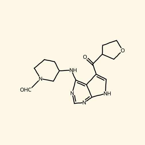 O=CN1CCCC(Nc2ncnc3[nH]cc(C(=O)C4CCOC4)c23)C1